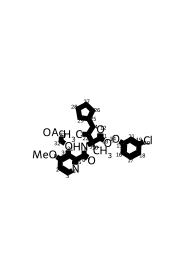 COc1ccnc(C(=O)N[C@](C)(C(=O)OOc2cccc(Cl)c2)C(C)CC2CCCC2)c1OCOC(C)=O